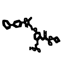 Cc1oc(-c2ccc(-c3ccccc3)cc2)nc1CCOc1ccc(CCC(=O)O)c(CNC(=O)OC2CCC2)c1